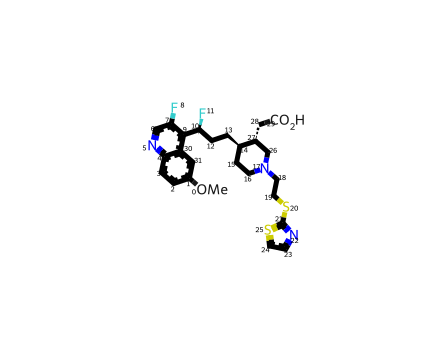 COc1ccc2ncc(F)c([C@@H](F)CC[C@@H]3CCN(CCSc4nccs4)C[C@H]3CC(=O)O)c2c1